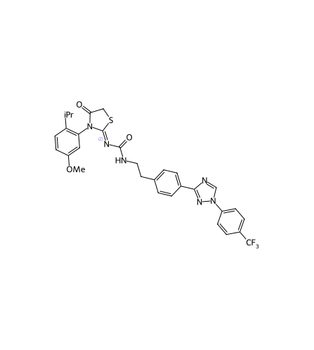 COc1ccc(C(C)C)c(N2C(=O)CS/C2=N\C(=O)NCCc2ccc(-c3ncn(-c4ccc(C(F)(F)F)cc4)n3)cc2)c1